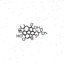 CCOC(=O)C1CSc2c(OC)c3c4c5c(c(O)c(OC)c6c5c5c(c(OC)c(O)c(c2=N1)c35)CC(C)=C6C(C)=O)C(=O)C=C4OC